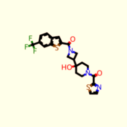 O=C(c1cc2ccc(C(F)(F)F)cc2s1)N1CC(C2(O)CCN(C(=O)c3nccs3)CC2)C1